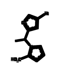 CCc1coc(C(C)n2cccc2C(=O)O)c1